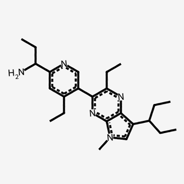 CCc1cc(C(N)CC)ncc1-c1nc2c(nc1CC)c(C(CC)CC)cn2C